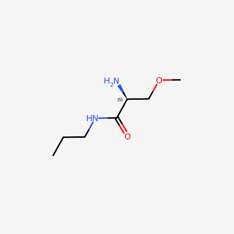 CCCNC(=O)[C@@H](N)COC